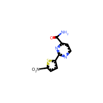 NC(=O)c1ccnc(-c2ccc([N+](=O)[O-])s2)n1